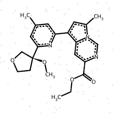 CCOC(=O)c1cc2c(-c3cc(C)cc([C@]4(OC)CCOC4)n3)cc(C)n2cn1